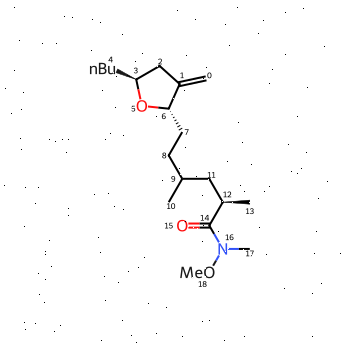 C=C1C[C@H](CCCC)O[C@H]1CCC(C)C[C@@H](C)C(=O)N(C)OC